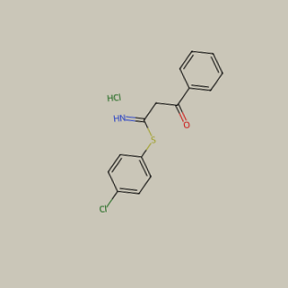 Cl.N=C(CC(=O)c1ccccc1)Sc1ccc(Cl)cc1